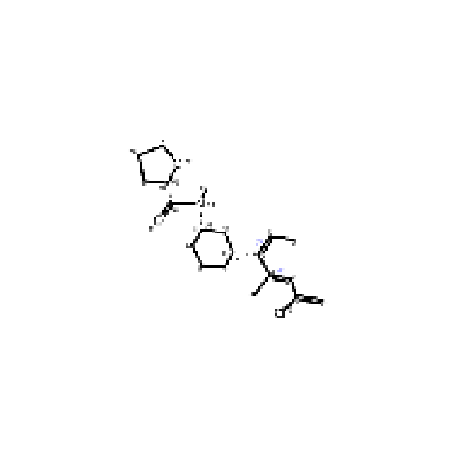 C=C(Cl)/C=C(C)/C(=C\C)[C@@H]1CCC[C@H](N(C)C(=O)[C@@H]2CCCO2)C1